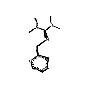 CN(C)C(=NCc1ccccn1)N(C)C